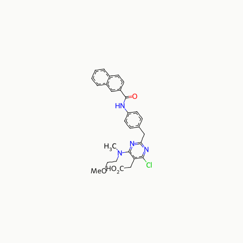 COCCN(C)c1nc(Cc2ccc(NC(=O)c3ccc4ccccc4c3)cc2)nc(Cl)c1CC(=O)O